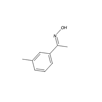 CC(=NO)c1cccc(C)c1